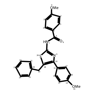 COc1ccc(C(=O)Nc2nc(-c3ccc(OC)cc3)c(Cc3ccccc3)s2)cc1